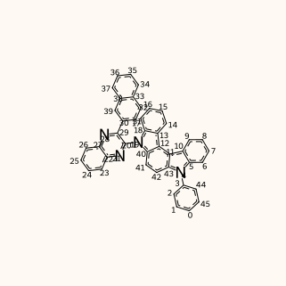 c1ccc(-n2c3ccccc3c3c4c5ccccc5n(-c5nc6ccccc6nc5-c5ccc6ccccc6c5)c4ccc32)cc1